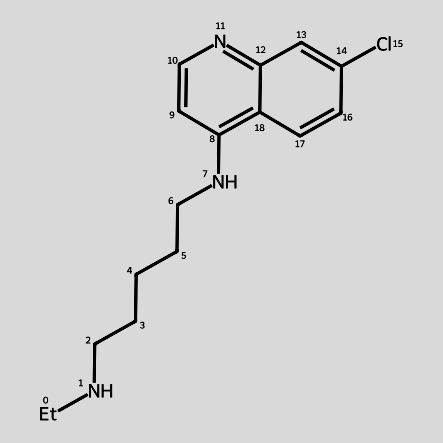 CCNCCCCCNc1ccnc2cc(Cl)ccc12